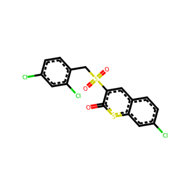 O=c1sc2cc(Cl)ccc2cc1S(=O)(=O)Cc1ccc(Cl)cc1Cl